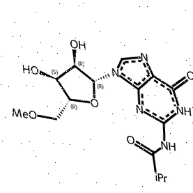 COC[C@H]1O[C@@H](n2cnc3c(=O)[nH]c(NC(=O)C(C)C)nc32)[C@H](O)[C@@H]1O